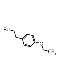 FC(F)(F)COc1ccc(CCBr)cc1